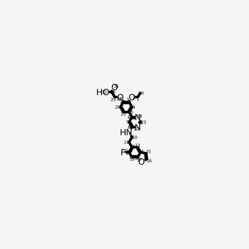 CCOc1cc(-c2cc(NCCc3cc4ccoc4cc3F)ncn2)ccc1OCC(=O)O